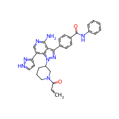 C=CC(=O)N1CCCC(n2nc(-c3ccc(C(=O)Nc4ccccc4)cc3)c3c(N)ncc(-c4cc[nH]n4)c32)C1